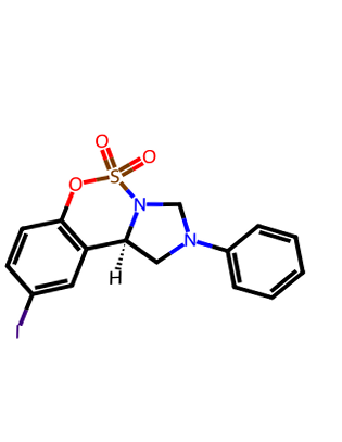 O=S1(=O)Oc2ccc(I)cc2[C@@H]2CN(c3ccccc3)CN21